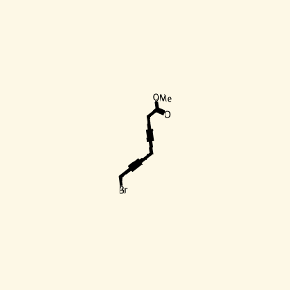 COC(=O)CC#CCC#CCBr